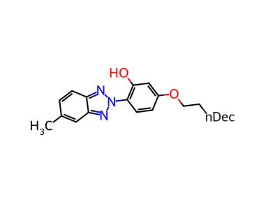 CCCCCCCCCCCCOc1ccc(-n2nc3ccc(C)cc3n2)c(O)c1